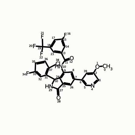 COc1cncc(-c2cc(NC(=O)c3cc(F)cc(C(F)(F)F)c3)c3c(c2)C(=O)NC3c2cc(F)ccc2Cl)c1